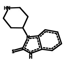 S=c1[nH]c2ccccc2n1C1CCNCC1